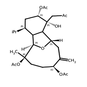 C=C1C[C@@H]2O[C@H](C3C2[C@](O)(CC(C)=O)[C@@H](OC(C)=O)C[C@@H]3C(C)C)[C@](C)(OC(C)=O)CC[C@@H]1OC(C)=O